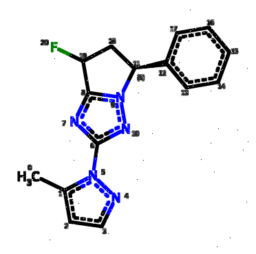 Cc1ccnn1-c1nc2n(n1)[C@H](c1ccccc1)CC2F